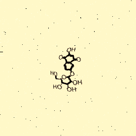 O=C1C=C(O)C(=O)c2ccc(OC3O[C@H](CO)[C@@H](O)[C@H](O)[C@H]3O)cc21